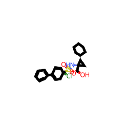 O=C(O)[C@@]1(NS(=O)(=O)C2(Cl)C=CC(c3ccccc3)=CC2)C[C@H]1C1CCCCC1